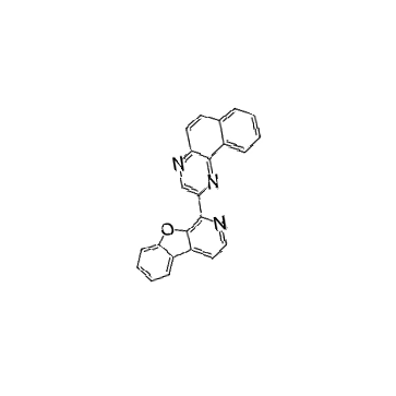 c1ccc2c(c1)ccc1ncc(-c3nccc4c3oc3ccccc34)nc12